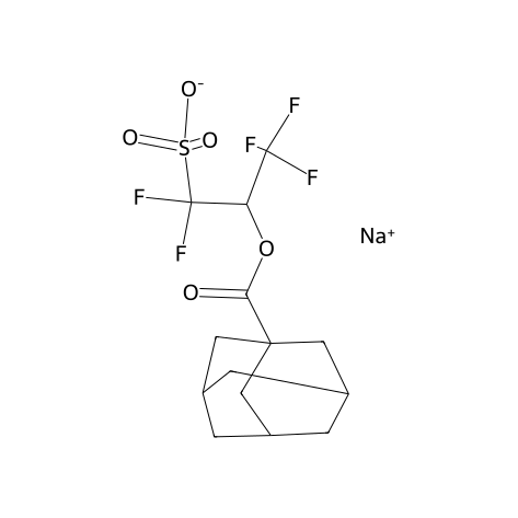 O=C(OC(C(F)(F)F)C(F)(F)S(=O)(=O)[O-])C12CC3CC(CC(C3)C1)C2.[Na+]